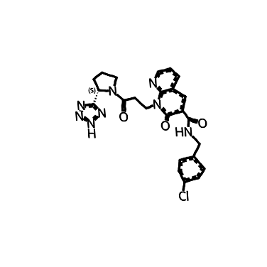 O=C(NCc1ccc(Cl)cc1)c1cc2cccnc2n(CCC(=O)N2CCC[C@H]2c2nn[nH]n2)c1=O